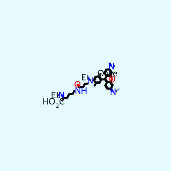 CCN(CCCC(=O)NCCCCC(C(=O)O)N(C)CC)c1cc(OC)c(-c2c3ccc(=[N+](C)C)cc-3oc3cc(N(C)C)ccc23)cc1C